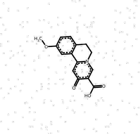 COc1ccc2c(c1)-c1cc(=O)c(C(=O)O)cn1CC2